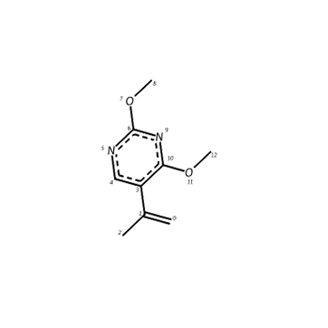 C=C(C)c1cnc(OC)nc1OC